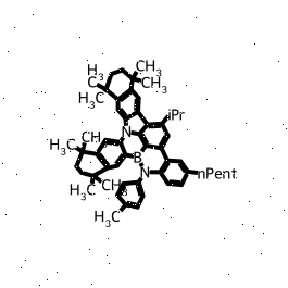 CCCCCc1ccc2c(c1)-c1cc(C(C)C)c3c4cc5c(cc4n4c3c1B(c1cc3c(cc1-4)C(C)(C)CCC3(C)C)N2c1ccc(C)cc1)C(C)(C)CCC5(C)C